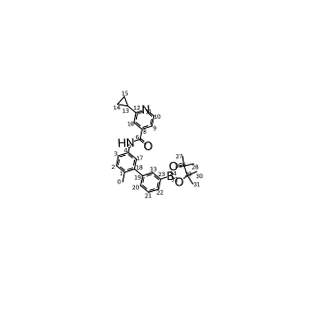 Cc1ccc(NC(=O)c2ccnc(C3CC3)c2)cc1-c1cccc(B2OC(C)(C)C(C)(C)O2)c1